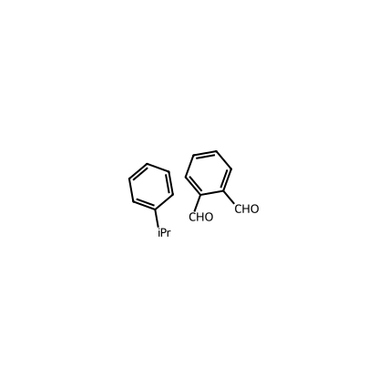 CC(C)c1ccccc1.O=Cc1ccccc1C=O